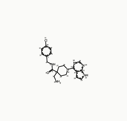 NCC1(C(=O)NCc2ccc(Cl)cc2)CCN(c2ncnc3[nH]ccc23)CC1